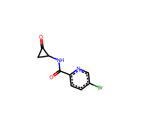 O=C(NC1CC1=O)c1ccc(Br)cn1